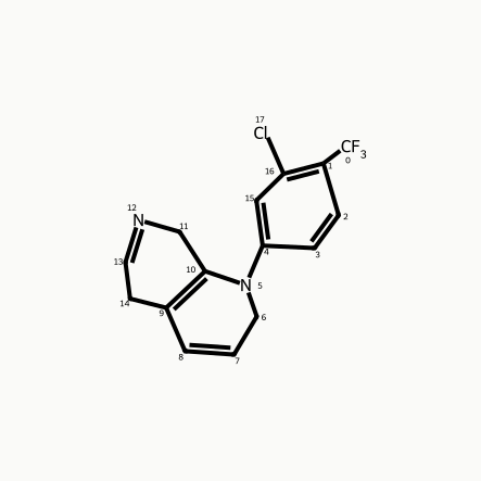 FC(F)(F)c1ccc(N2CC=CC3=C2CN=CC3)cc1Cl